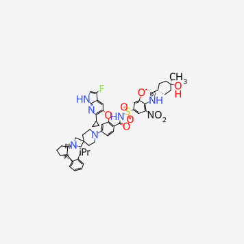 CC(C)c1ccccc1[C@H]1CCC[C@H]1N1CC2(CCN(c3ccc(C(=O)NS(=O)(=O)c4cc5c(c([N+](=O)[O-])c4)N[C@@H]([C@H]4CC[C@](C)(O)CC4)CO5)c(Oc4cc5c(F)c[nH]c5nc4C4CC4)c3)CC2)C1